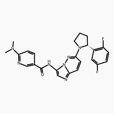 CN(C)c1ccc(C(=O)Nc2cnc3ccc(N4CCC[C@@H]4c4cc(F)ccc4F)nn23)cn1